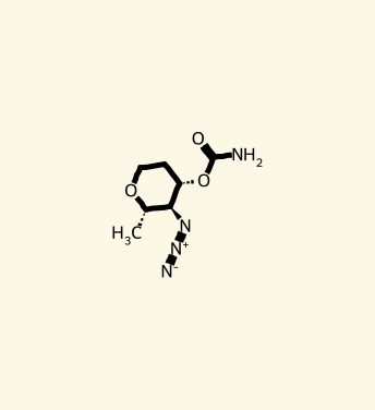 C[C@@H]1OCC[C@H](OC(N)=O)[C@H]1N=[N+]=[N-]